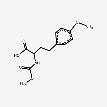 COC(=O)NC(CCc1ccc(OC)cc1)C(=O)O